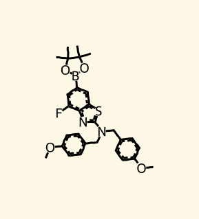 COc1ccc(CN(Cc2ccc(OC)cc2)c2nc3c(F)cc(B4OC(C)(C)C(C)(C)O4)cc3s2)cc1